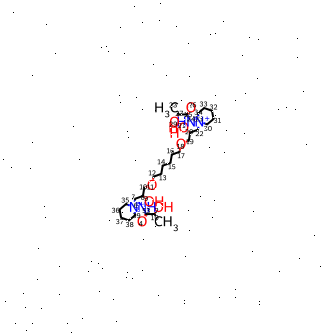 CC(O)C(=O)N[N+]1(CC(O)COCCCCCCOCC(O)C[N+]2(NC(=O)C(C)O)CCCCC2)CCCCC1